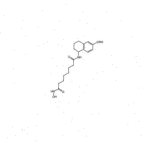 COc1ccc2c(c1)CCCC2NC(=O)CCCCCCC(=O)NO